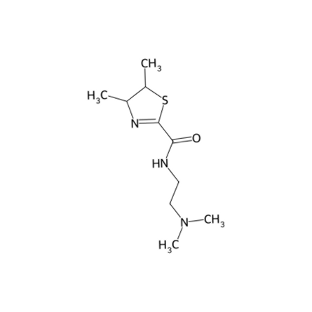 CC1N=C(C(=O)NCCN(C)C)SC1C